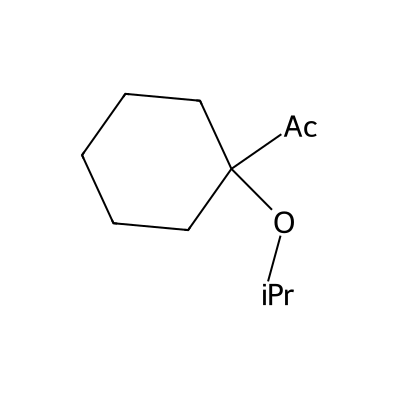 CC(=O)C1(OC(C)C)CCCCC1